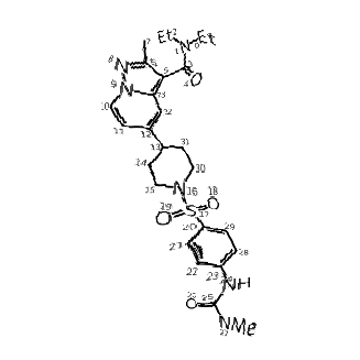 CCN(CC)C(=O)c1c(C)nn2ccc(C3CCN(S(=O)(=O)c4ccc(NC(=O)NC)cc4)CC3)cc12